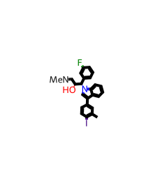 CNC[C@@H](O)[C@H](c1cccc(F)c1)n1cc(-c2ccc(I)c(C)c2)c2ccccc21